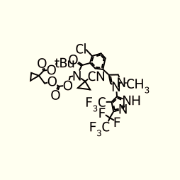 CN1CC(c2ccc(Cl)c(C(=O)N(COC(=O)OCC3(C(=O)OC(C)(C)C)CC3)C3(C#N)CC3)c2)=CN1c1[nH]nc(C(F)(F)C(F)(F)F)c1C(F)(F)F